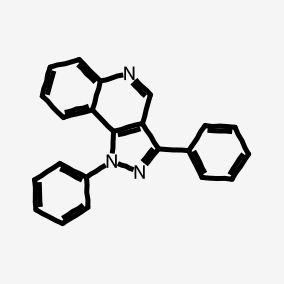 c1ccc(-c2nn(-c3ccccc3)c3c2cnc2ccccc23)cc1